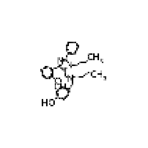 CCCCN(Cc1ccc(O)cc1)Cc1c(-c2ccccc2OC)nc(-c2ccccc2)n1CCCC